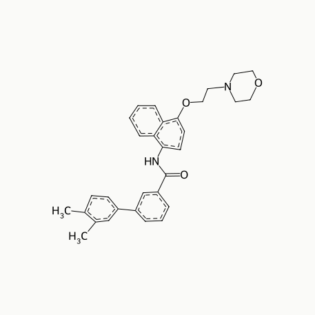 Cc1ccc(-c2cccc(C(=O)Nc3ccc(OCCN4CCOCC4)c4ccccc34)c2)cc1C